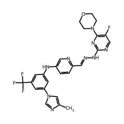 Cc1cn(-c2cc(Nc3ccc(/C=N/Nc4ncc(F)c(N5CCOCC5)n4)nc3)cc(C(F)(F)F)c2)cn1